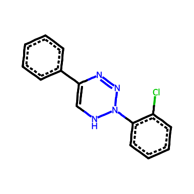 Clc1ccccc1N1N=NC(c2ccccc2)=CN1